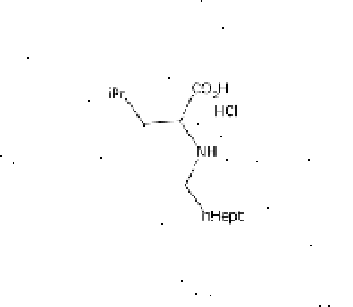 CCCCCCCCNC(CC(C)C)C(=O)O.Cl